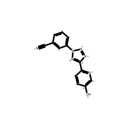 N#Cc1cccc(-n2nnc(-c3ccc(O)cn3)n2)c1